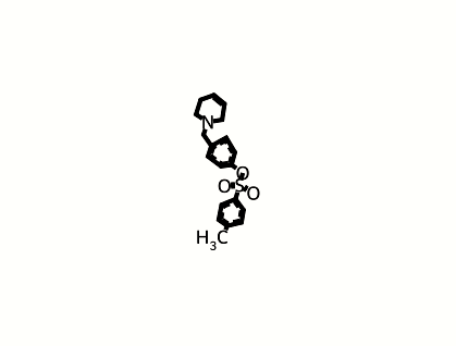 Cc1ccc(S(=O)(=O)Oc2ccc(CN3CC=CCC3)cc2)cc1